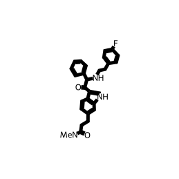 CNC(=O)CCc1ccc2c(C(=O)C(NCCc3ccc(F)cc3)c3ccccc3)c[nH]c2c1